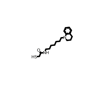 O=C(CS)NCCCCCCCN1CCCc2ccccc21